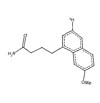 [2H]c1cc(CCCC(N)=O)c2cc(OC)ccc2c1